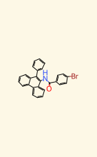 O=C(Nc1c(-c2ccccc2)c2ccccc2c2ccccc12)c1ccc(Br)cc1